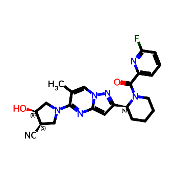 Cc1cn2nc([C@@H]3CCCCN3C(=O)c3cccc(F)n3)cc2nc1N1C[C@@H](C#N)[C@@H](O)C1